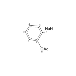 CC(=O)Oc1ccccc1.[NaH]